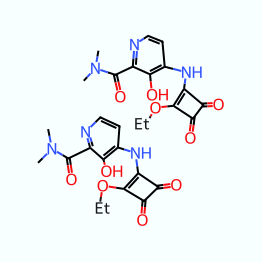 CCOc1c(Nc2ccnc(C(=O)N(C)C)c2O)c(=O)c1=O.CCOc1c(Nc2ccnc(C(=O)N(C)C)c2O)c(=O)c1=O